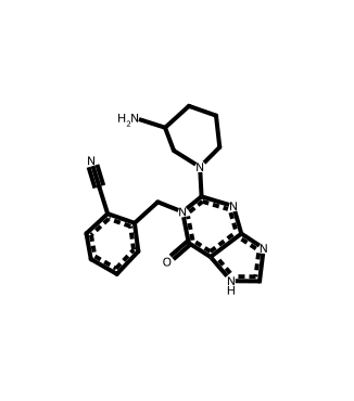 N#Cc1ccccc1Cn1c(N2CCCC(N)C2)nc2nc[nH]c2c1=O